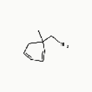 CC1(CN)C=CC=CC1